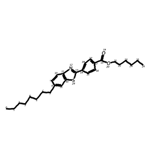 CCCCCCCCc1ccc2nc(-c3ccc(C(=O)OCCCCCC)cc3)sc2c1